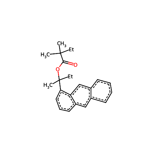 CCC(C)(C)C(=O)OC(C)(CC)c1cccc2cc3ccccc3cc12